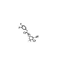 CC1(C)CC2(C=C(C#N)C1=O)CN(C(=O)Cc1ccc(F)c(F)c1)C2